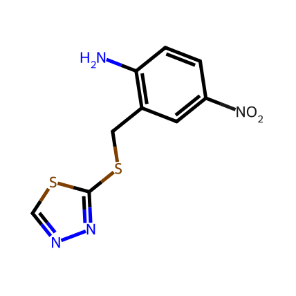 Nc1ccc([N+](=O)[O-])cc1CSc1nncs1